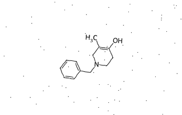 CC1=C(O)CCN(Cc2ccccc2)C1